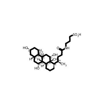 C[C@H](CCC(=O)NCCCS(=O)(=O)O)[C@H]1CCC[C@H]2[C@@H]3[C@H](O)C[C@@H]4C[C@H](O)CC[C@]4(C)[C@H]3C[C@H](O)[C@]12C